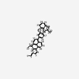 C/C=C/C=C\c1c(C)/c(=C\C)c2ccc(-c3ccc4c(c3)Oc3cccc5nc(CC)n-4c35)c3cccc1c32